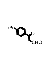 CCCc1ccc(C(=O)CC=O)cc1